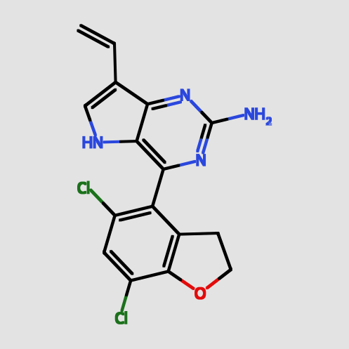 C=Cc1c[nH]c2c(-c3c(Cl)cc(Cl)c4c3CCO4)nc(N)nc12